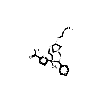 CCC[N+](C)(c1ccc(C(N)=O)s1)[C@H](CN1CC[C@H](OCOC)C1)c1ccccc1